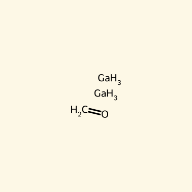 C=O.[GaH3].[GaH3]